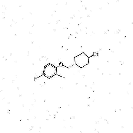 CC[C@H]1CC[C@H](COc2ccc(F)cc2F)CC1